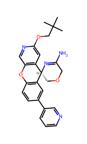 CC(C)(C)COc1cc2c(cn1)Oc1ccc(-c3cccnc3)cc1[C@@]21COCC(N)=N1